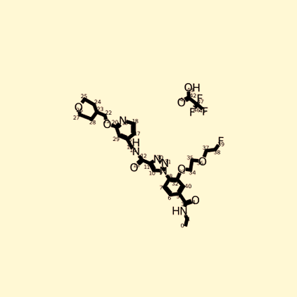 CCNC(=O)c1ccc(-n2cc(C(=O)NCc3ccnc(OCC4CCOCC4)c3)nn2)c(OCCOCCF)c1.O=C(O)C(F)(F)F